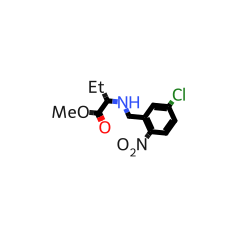 CCC(NCc1cc(Cl)ccc1[N+](=O)[O-])C(=O)OC